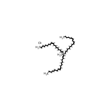 CCCCC/C=C\C/C=C\CCCCCCCC[N+](C)(C=CCCCCCC/C=C\CCCCCCCC)C=CCCCCCC/C=C\CCCCCCCC.[Cl-]